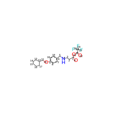 O=C(CCNCc1ccc(OCC2CCCCC2)cc1)OC(=O)C(F)(F)F